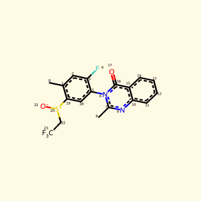 Cc1cc(F)c(-n2c(C)nc3ccccc3c2=O)cc1[S+]([O-])CC(F)(F)F